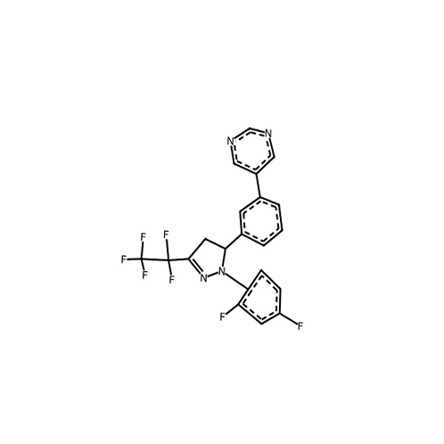 Fc1ccc(N2N=C(C(F)(F)C(F)(F)F)CC2c2cccc(-c3cncnc3)c2)c(F)c1